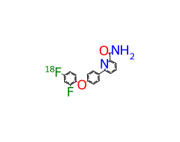 NC(=O)c1cccc(-c2ccc(Oc3ccc([18F])cc3F)cc2)n1